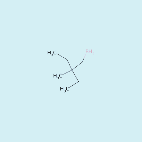 BCC(C)(CC)CC